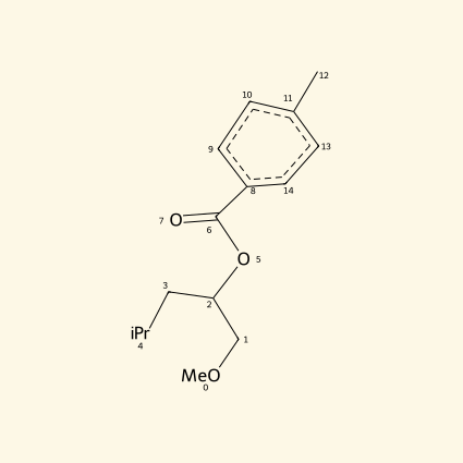 COCC(CC(C)C)OC(=O)c1ccc(C)cc1